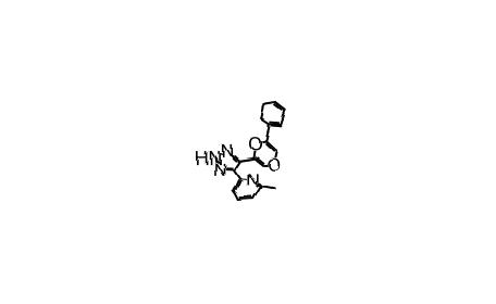 Cc1cccc(-c2n[nH]nc2C2=COC=C(C3=CC=CCC3)O2)n1